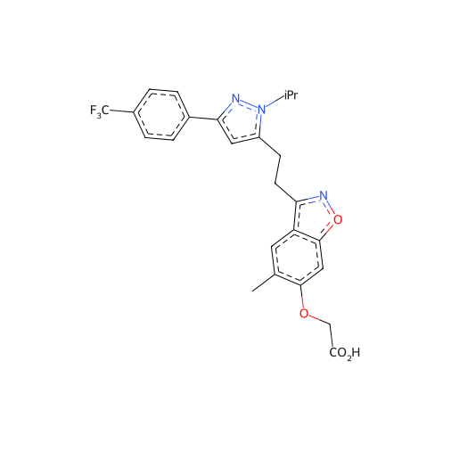 Cc1cc2c(CCc3cc(-c4ccc(C(F)(F)F)cc4)nn3C(C)C)noc2cc1OCC(=O)O